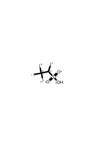 O=S(=O)(O)C(I)C(I)(I)I